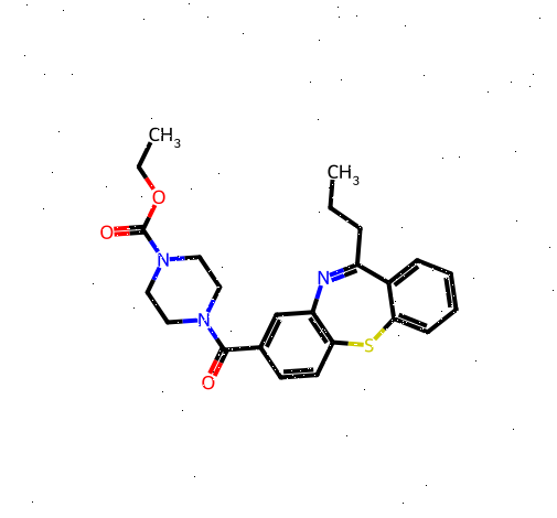 CCCC1=Nc2cc(C(=O)N3CCN(C(=O)OCC)CC3)ccc2Sc2ccccc21